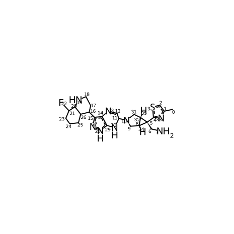 Cc1csc([C@]2(CN)[C@@H]3CN(C4C=Nc5c(C6CCNC7C(F)CCCC67)n[nH]c5N4)C[C@@H]32)n1